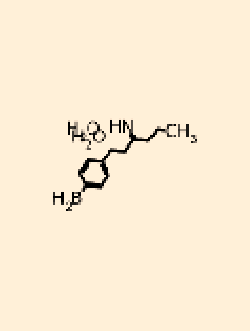 Bc1ccc(CCC(=N)CCC)cc1.O.O